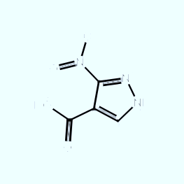 O=C(O)c1c[nH]nc1[N+](=O)[O-]